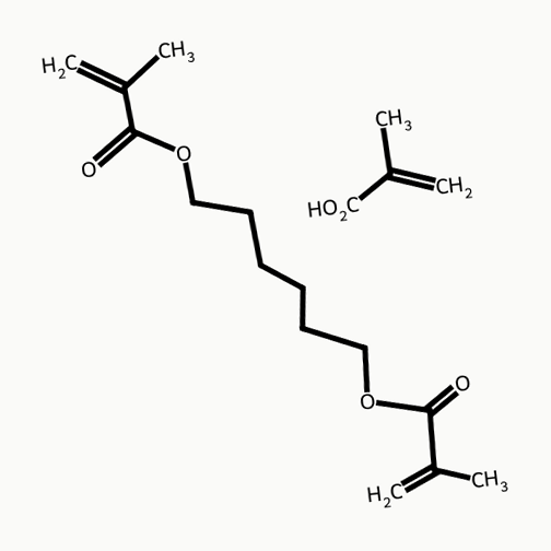 C=C(C)C(=O)O.C=C(C)C(=O)OCCCCCCOC(=O)C(=C)C